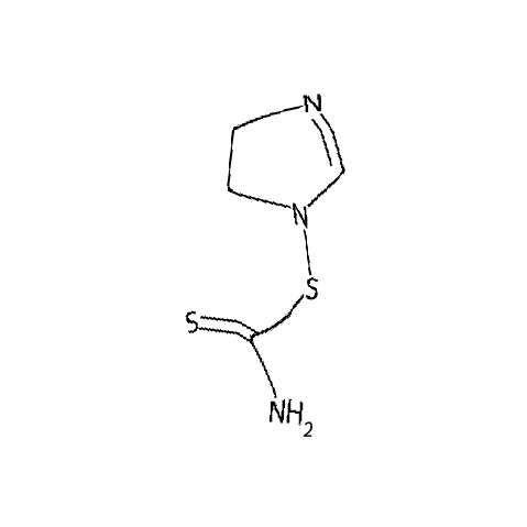 NC(=S)SN1C=NCC1